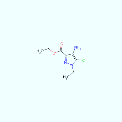 CCOC(=O)c1nn(CC)c(Cl)c1N